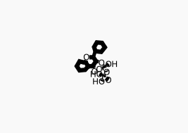 O=c1c(OP(=O)(O)OP(=O)(O)O)c(-c2ccccc2)oc2ccccc12